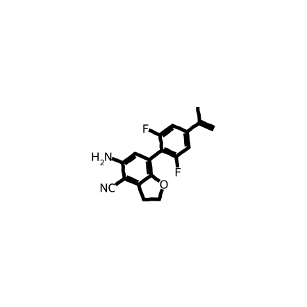 C=C(C)c1cc(F)c(-c2cc(N)c(C#N)c3c2OCC3)c(F)c1